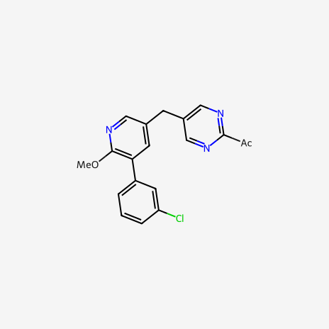 COc1ncc(Cc2cnc(C(C)=O)nc2)cc1-c1cccc(Cl)c1